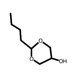 CCCCC1OCC(O)CO1